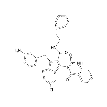 Nc1cccc(Cn2c(C(=O)NCCc3ccccc3)c(-n3c(=O)[nH]c4ccccc4c3=O)c3cc(Cl)ccc32)c1